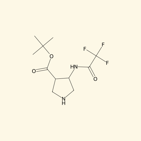 CC(C)(C)OC(=O)C1CNCC1NC(=O)C(F)(F)F